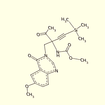 COC(=O)NC(C#C[Si](C)(C)C)(Cn1cnc2ccc(OC)cc2c1=O)C(C)=O